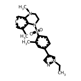 CCn1cc(-c2ccc(S(=O)(=O)N3CCN(C)c4cccc(C)c43)c(C)c2)cn1